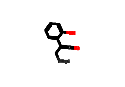 CCCCCCCCC(=C=O)c1ccccc1O